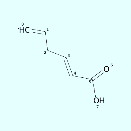 [CH]=CCC=CC(=O)O